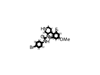 COc1cc(F)c(C2CCNCC2NC(=O)Nc2ccc(Br)cc2)c(F)c1